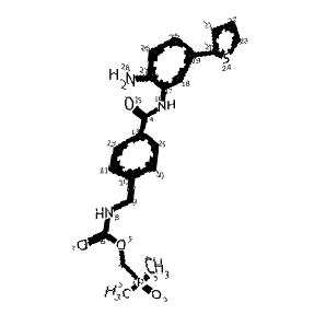 CP(C)(=O)COC(=O)NCc1ccc(C(=O)Nc2cc(-c3cccs3)ccc2N)cc1